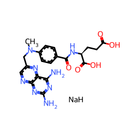 CN(Cc1cnc2nc(N)nc(N)c2n1)c1ccc(C(=O)N[C@@H](CCC(=O)O)C(=O)O)cc1.[NaH]